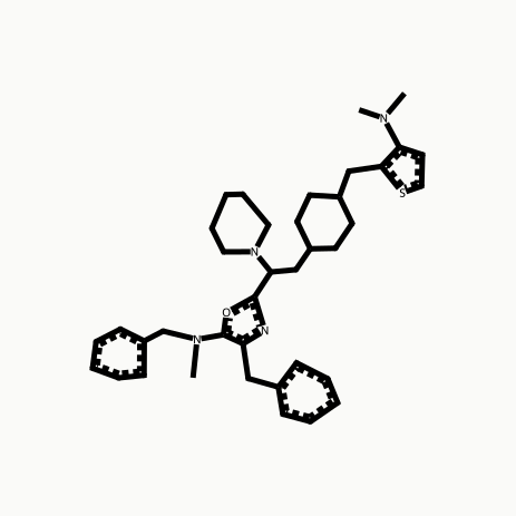 CN(C)c1ccsc1CC1CCC(CC(c2nc(Cc3ccccc3)c(N(C)Cc3ccccc3)o2)N2CCCCC2)CC1